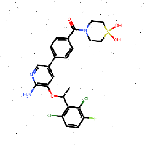 CC(Oc1cc(-c2ccc(C(=O)N3CCS(O)(O)CC3)cc2)cnc1N)c1c(Cl)ccc(F)c1Cl